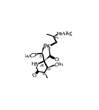 CC(=O)N[C@H](C)CSC(=O)[C@]1([C@@H](O)C(C)C)NC(=O)[C@H](C)[C@@H]1O